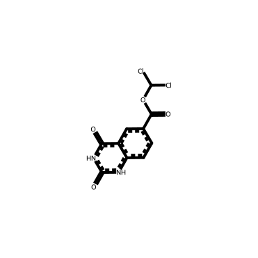 O=C(OC(Cl)Cl)c1ccc2[nH]c(=O)[nH]c(=O)c2c1